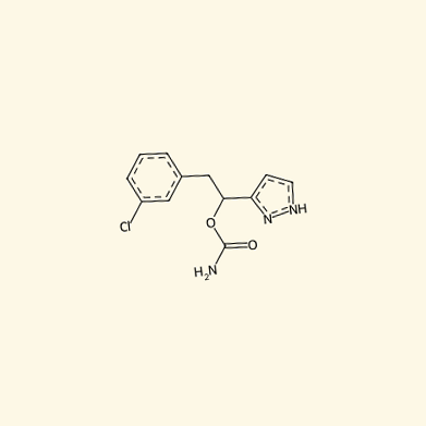 NC(=O)OC(Cc1cccc(Cl)c1)c1cc[nH]n1